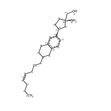 CCC/C=C\COCC1CCc2cc([C@H]3CC[C@](N)(CO)C3)ccc2C1